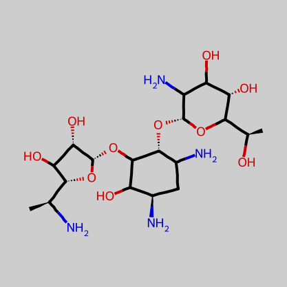 C[C@H](N)[C@H]1O[C@@H](OC2C(O)[C@H](N)CC(N)[C@H]2O[C@H]2OC([C@@H](C)O)[C@@H](O)C(O)C2N)[C@@H](O)C1O